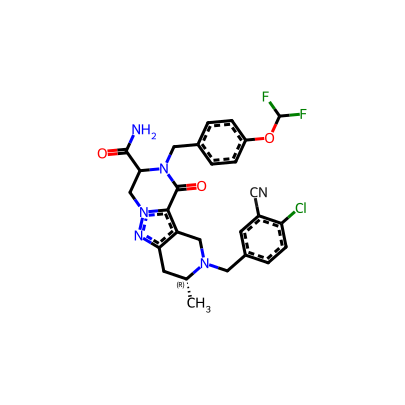 C[C@@H]1Cc2nn3c(c2CN1Cc1ccc(Cl)c(C#N)c1)C(=O)N(Cc1ccc(OC(F)F)cc1)C(C(N)=O)C3